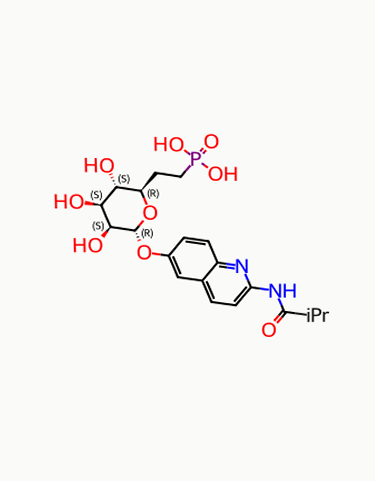 CC(C)C(=O)Nc1ccc2cc(O[C@H]3O[C@H](CCP(=O)(O)O)[C@@H](O)[C@H](O)[C@@H]3O)ccc2n1